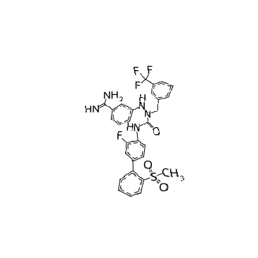 CS(=O)(=O)c1ccccc1-c1ccc(NC(=O)N(Cc2cccc(C(F)(F)F)c2)Nc2cccc(C(=N)N)c2)c(F)c1